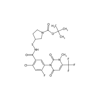 Cn1c(C(F)(F)F)cc(=O)n(-c2cc(C(=O)NSC3CCN(C(=O)OC(C)(C)C)C3)c(Cl)cc2F)c1=O